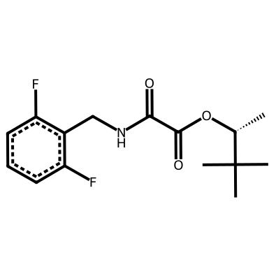 C[C@@H](OC(=O)C(=O)NCc1c(F)cccc1F)C(C)(C)C